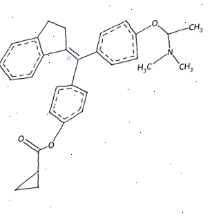 CC(Oc1ccc(/C(=C2\CCc3ccccc32)c2ccc(OC(=O)C3CC3)cc2)cc1)N(C)C